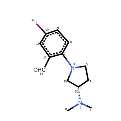 CN(C)[C@H]1CCN(c2ccc(I)cc2C=O)C1